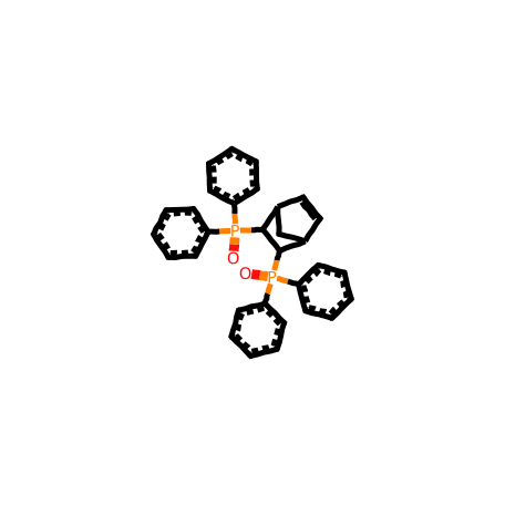 O=P(c1ccccc1)(c1ccccc1)C1C2C=CC(C2)C1P(=O)(c1ccccc1)c1ccccc1